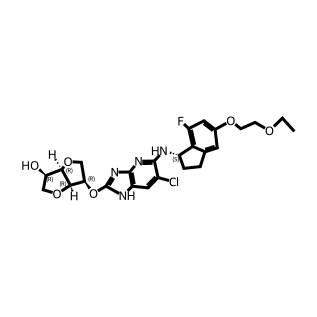 CCOCCOc1cc(F)c2c(c1)CC[C@@H]2Nc1nc2nc(O[C@@H]3CO[C@H]4[C@@H]3OC[C@H]4O)[nH]c2cc1Cl